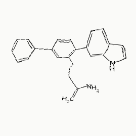 C=C(N)CCc1cc(-c2ccccc2)ccc1-c1ccc2cc[nH]c2c1